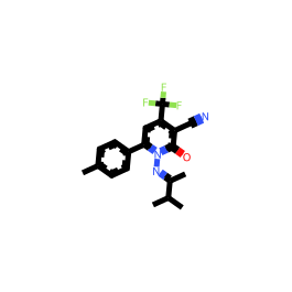 CC(=Nn1c(-c2ccc(C)cc2)cc(C(F)(F)F)c(C#N)c1=O)C(C)C